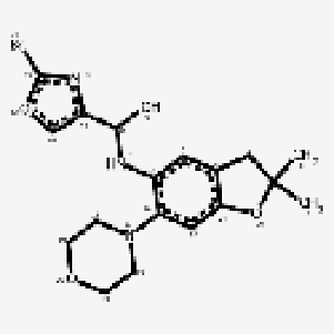 CC1(C)Cc2cc(NC(O)c3coc(Br)n3)c(N3CCOCC3)cc2O1